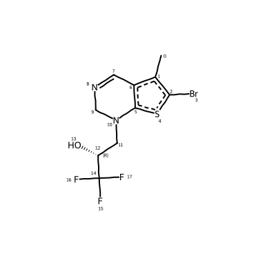 Cc1c(Br)sc2c1C=NCN2C[C@@H](O)C(F)(F)F